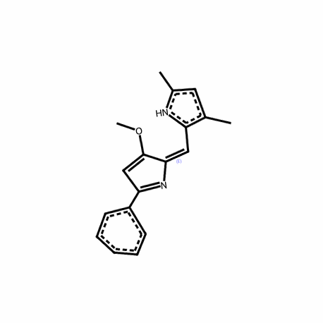 COC1=CC(c2ccccc2)=N/C1=C/c1[nH]c(C)cc1C